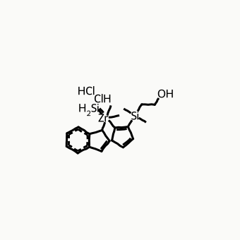 C[Si](C)(CCO)C1=[C]([Zr]([CH3])([CH3])(=[SiH2])[CH]2C=Cc3ccccc32)CC=C1.Cl.Cl